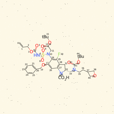 C=CCOC(=O)NS(=O)(=O)N(CC(=O)OC(C)(C)C)c1c(OCc2ccccc2)cc2c(c1F)C[C@H](CN(CCC1COC1)C(=O)OC(C)(C)C)N2C(=O)O